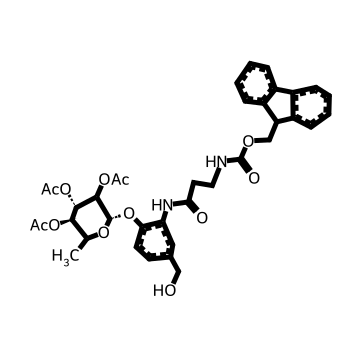 CC(=O)OC1[C@H](Oc2ccc(CO)cc2NC(=O)CCNC(=O)OCC2c3ccccc3-c3ccccc32)OC(C)[C@@H](OC(C)=O)[C@@H]1OC(C)=O